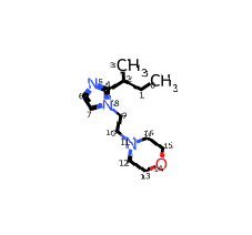 CCC(C)c1nccn1CCN1CCOCC1